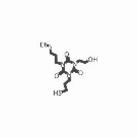 CCSCCCn1c(=O)n(CCO)c(=O)n(CCCS)c1=O